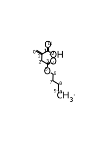 C=C(CC(=O)OCCCC)C(=O)O.[CH3]